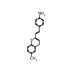 Cc1ccc2c(c1)CC=C(C=Cc1ccc(N)cc1)S2